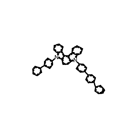 c1ccc(-c2ccc(-c3ccc(-n4c5ccccc5c5c6c7ccccc7n(-c7ccc(-c8ccccc8)cc7)c6ccc54)cc3)cc2)cc#1